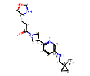 O=C(CC[C@@H]1COCN1)N1CC(c2ccc(NCC3(C(F)(F)F)CC3)cn2)C1